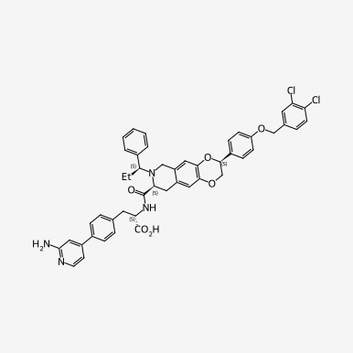 CC[C@@H](c1ccccc1)N1Cc2cc3c(cc2C[C@H]1C(=O)N[C@@H](Cc1ccc(-c2ccnc(N)c2)cc1)C(=O)O)OC[C@H](c1ccc(OCc2ccc(Cl)c(Cl)c2)cc1)O3